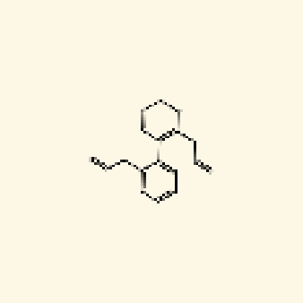 C=CCC1=C(c2ccccc2CC=C)C=CC[CH]1